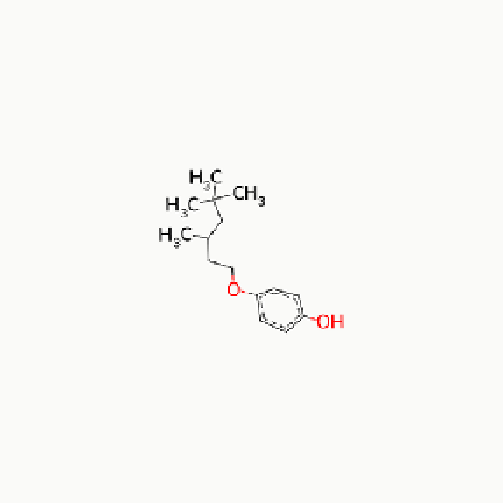 CC(CCOc1ccc(O)cc1)CC(C)(C)C